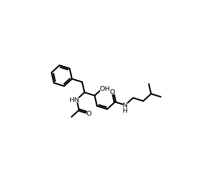 CC(=O)NC(Cc1ccccc1)C(O)/C=C\C(=O)NCCC(C)C